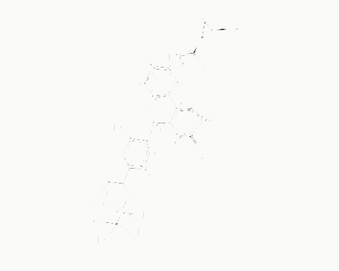 CCC(O[Si](C)(C)C(C)(C)C)c1cc(C)c(Nc2nc(=O)n(C)cc2-c2cc(NC(=O)[C@H]3C[C@H]3F)ncn2)cn1